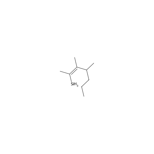 CCCC(C)C(C)=C(C)[SiH3]